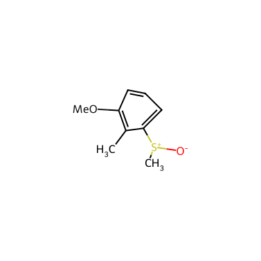 COc1cccc([S+](C)[O-])c1C